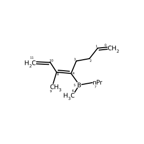 C=CCC/C(B(C)CCC)=C(/C)C=C